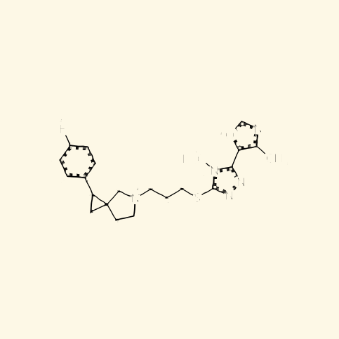 Cc1ncoc1-c1nnc(SCCCN2CCC3(CC3c3ccc(F)cc3)C2)n1C